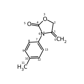 C=C1COC(=O)N1c1ccc(C)cc1